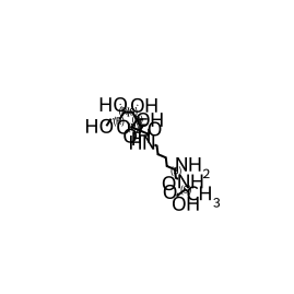 C[C@H](NC(=O)[C@@H](N)CCCCNC(=O)C(F)(F)[C@]1(O)O[C@H](CO)[C@H](O)[C@H](O)[C@H]1O)C(=O)O